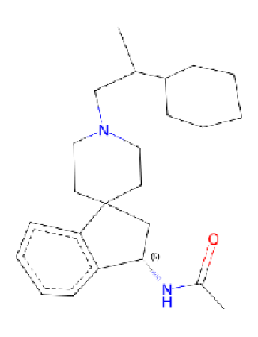 CC(=O)N[C@H]1CC2(CCN(CC(C)C3CCCCC3)CC2)c2ccccc21